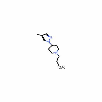 CC(=O)OCCN1CCC(n2cc(C)cn2)CC1